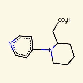 O=C(O)CC1CCCCN1c1ccncc1